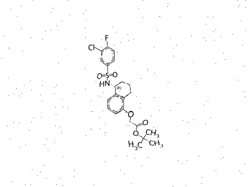 CC(C)(C)OC(=O)COc1cccc2c1CCC[C@H]2NS(=O)(=O)c1ccc(F)c(Cl)c1